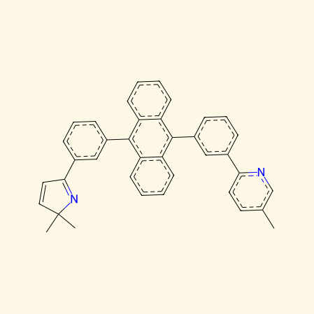 Cc1ccc(-c2cccc(-c3c4ccccc4c(-c4cccc(C5=NC(C)(C)C=C5)c4)c4ccccc34)c2)nc1